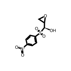 O=[N+]([O-])c1ccc(S(=O)(=O)[C@H](O)C2CO2)cc1